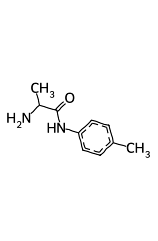 Cc1ccc(NC(=O)C(C)N)cc1